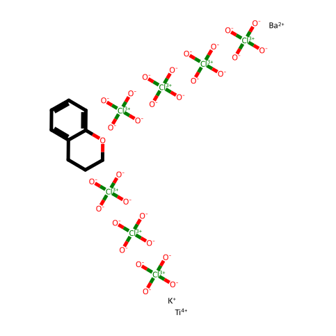 [Ba+2].[K+].[O-][Cl+3]([O-])([O-])[O-].[O-][Cl+3]([O-])([O-])[O-].[O-][Cl+3]([O-])([O-])[O-].[O-][Cl+3]([O-])([O-])[O-].[O-][Cl+3]([O-])([O-])[O-].[O-][Cl+3]([O-])([O-])[O-].[O-][Cl+3]([O-])([O-])[O-].[Ti+4].c1ccc2c(c1)CCCO2